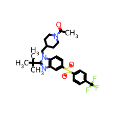 CC(=O)N1CCC(Cn2c(C(C)(C)C)nc3cc(S(=O)(=O)c4ccc(C(F)(F)F)cc4)ccc32)CC1